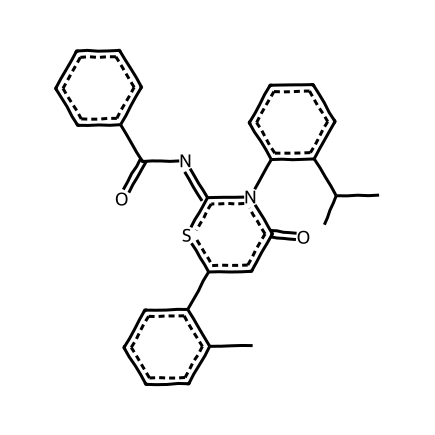 Cc1ccccc1-c1cc(=O)n(-c2ccccc2C(C)C)/c(=N/C(=O)c2ccccc2)s1